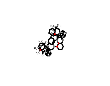 CC1(C)CN(C2(C(CN3CCN(CC(=NC4CCCCC4)C4(N5CC(C)(C)NC(C)(C)C5=O)c5nc(NC6CCCCC6)nc4n5)CC3)=NC3CCCCC3)c3nc(NC4CCCCC4)nc2n3)C(=O)C(C)(C)N1